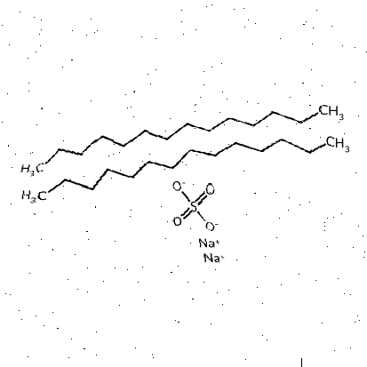 CCCCCCCCCCCCCC.CCCCCCCCCCCCCC.O=S(=O)([O-])[O-].[Na+].[Na+]